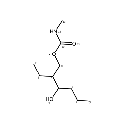 CCCC(O)C(CC)COC(=O)NC